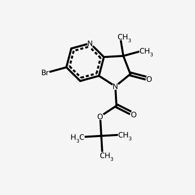 CC(C)(C)OC(=O)N1C(=O)C(C)(C)c2ncc(Br)cc21